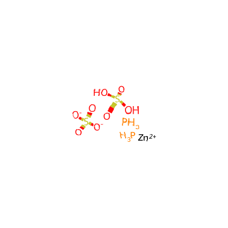 O=S(=O)(O)O.O=S(=O)([O-])[O-].P.P.[Zn+2]